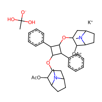 CC(=O)OC1C(OC2C(c3ccccc3)C(OC3CC4CCC(C3OC(C)=O)N4C)C2c2ccccc2)CC2CCC1N2C.CC([O-])(O)O.[K+]